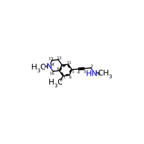 CNCC#Cc1cc(C)c2c(c1)CCN(C)C2